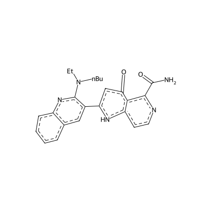 CCCCN(CC)c1nc2ccccc2cc1-c1cc(=O)c2c(C(N)=O)nccc2[nH]1